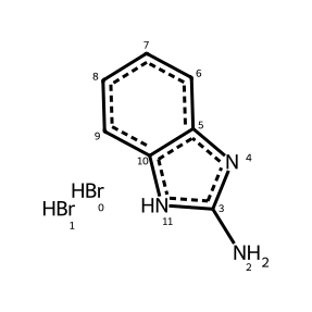 Br.Br.Nc1nc2ccccc2[nH]1